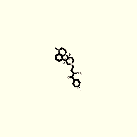 NC(CCN1CC[C@H]2[C@@H](C1)c1cccc3c1N2CCN3I)C(=O)C1=CC[C@H](F)C=C1